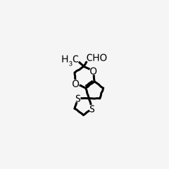 CC1(C=O)COC2=C(CCC23SCCS3)O1